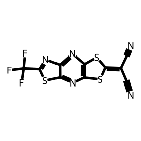 N#CC(C#N)=C1Sc2nc3nc(C(F)(F)F)sc3nc2S1